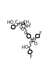 C[C@@H](NC(=O)COc1ccc([C@@H]2[C@@H](SCC(O)c3ccc(F)cc3)C(=O)N2c2ccc(F)cc2)cc1)C(=O)N[C@H](Cc1ccccc1)C(=O)O